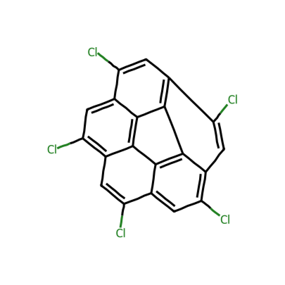 Clc1cc2c(Cl)cc3c(Cl)cc4c(Cl)cc5c(Cl)cc1c1c5c4c3c21